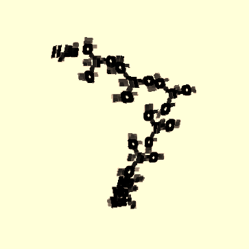 [BaH2].[BaH2].[Nb+5].[Nb+5].[O]=[Ti]([O-])[O-].[O]=[Ti]([O-])[O-].[O]=[Ti]([O-])[O-].[O]=[Ti]([O-])[O-].[O]=[Ti]([O-])[O-]